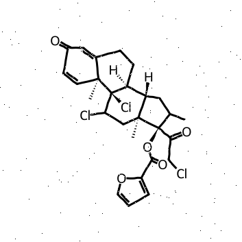 CC1C[C@H]2[C@@H]3CCC4=CC(=O)C=C[C@]4(C)[C@@]3(Cl)C(Cl)C[C@]2(C)[C@@]1(OC(=O)c1ccco1)C(=O)CCl